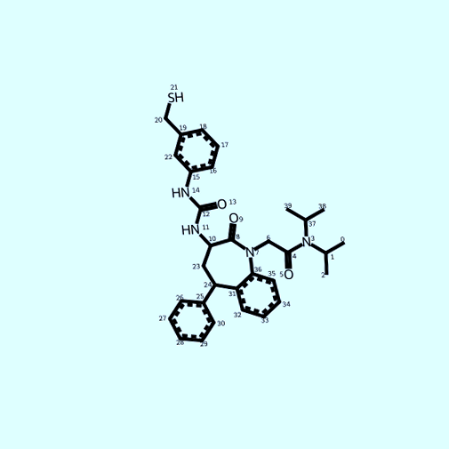 CC(C)N(C(=O)CN1C(=O)C(NC(=O)Nc2cccc(CS)c2)CC(c2ccccc2)c2ccccc21)C(C)C